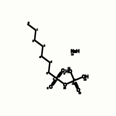 CCCCCCCS(=O)(=O)OP(=O)(O)O.[NaH]